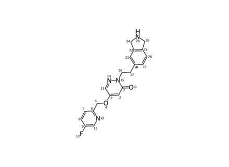 O=c1cc(OCc2ccc(F)cn2)cnn1CCc1ccc2c(c1)CNC2